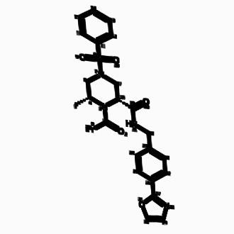 CC(C)C(=O)N1[C@H](C)CN(S(=O)(=O)c2ccccc2)C[C@@H]1C(=O)NCc1ccc(-c2ncco2)cc1